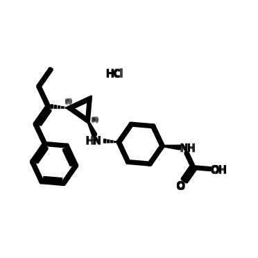 CCC(=Cc1ccccc1)[C@@H]1C[C@H]1N[C@H]1CC[C@H](NC(=O)O)CC1.Cl